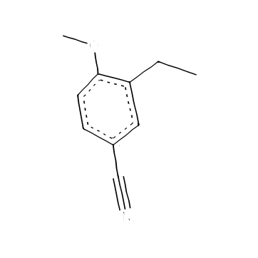 CCc1cc(C#N)ccc1OC